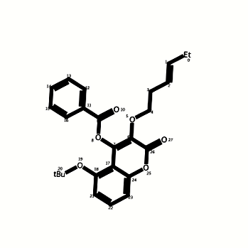 CCC=CCCOc1c(OC(=O)c2ccccc2)c2c(OC(C)(C)C)cccc2oc1=O